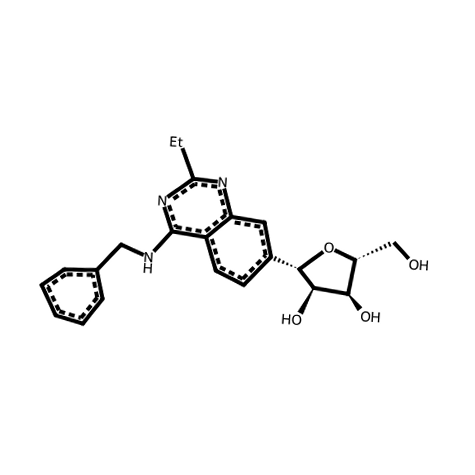 CCc1nc(NCc2ccccc2)c2ccc([C@@H]3O[C@H](CO)[C@@H](O)[C@H]3O)cc2n1